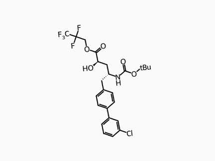 CC(C)(C)OC(=O)N[C@H](Cc1ccc(-c2cccc(Cl)c2)cc1)C[C@@H](O)C(=O)OCC(F)(F)C(F)(F)F